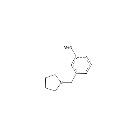 CNc1cccc(CN2CCCC2)c1